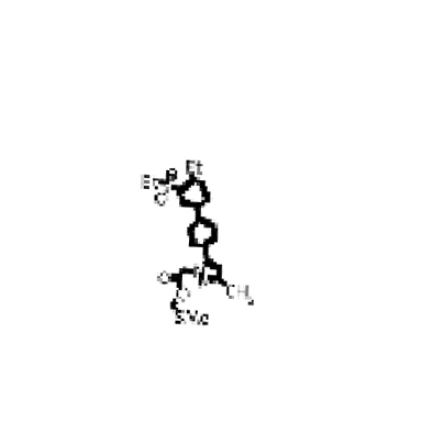 CCc1ccc(-c2ccc(-c3cc(C)nn3CC(=O)OCSC)cc2)cc1S(=O)(=O)CC